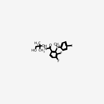 CN(c1ccc(I)cc1)c1c(C(=O)NOC(C)(C)CO)ccc(F)c1F